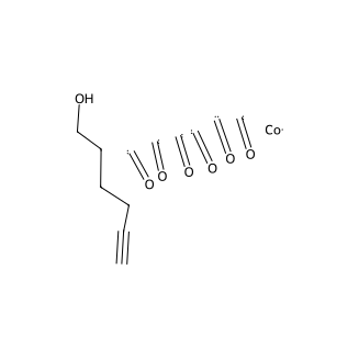 C#CCCCCO.[C]=O.[C]=O.[C]=O.[C]=O.[C]=O.[C]=O.[Co]